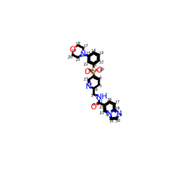 O=C(NCC1CC=C(S(=O)(=O)c2cccc(N3CCOCC3)c2)C=N1)c1ccc2nccn2c1